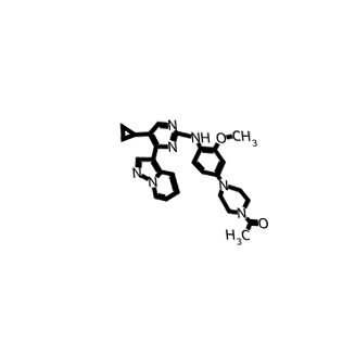 COc1cc(N2CCN(C(C)=O)CC2)ccc1Nc1ncc(C2CC2)c(-c2cnn3ccccc23)n1